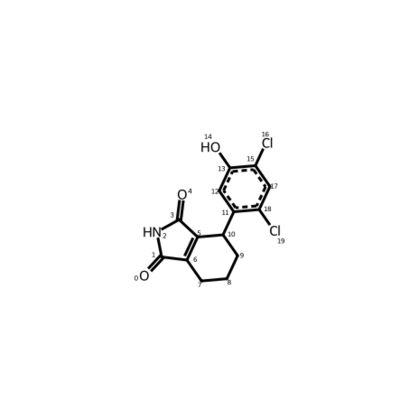 O=C1NC(=O)C2=C1CCCC2c1cc(O)c(Cl)cc1Cl